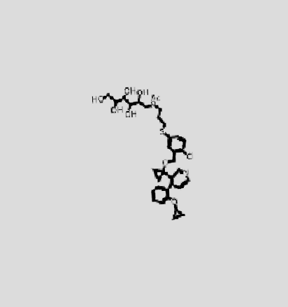 CC(=O)N(CCCSc1ccc(Cl)c(COC2(c3cnccc3-c3ccccc3OC3CC3)CC2)c1)CC(O)C(O)C(O)C(O)CO